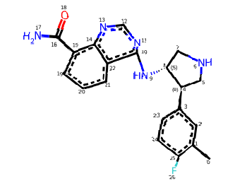 Cc1cc([C@@H]2CNC[C@H]2Nc2ncnc3c(C(N)=O)cccc23)ccc1F